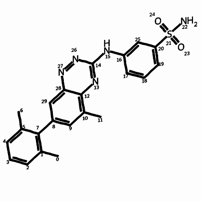 Cc1cccc(C)c1-c1cc(C)c2nc(Nc3cccc(S(N)(=O)=O)c3)nnc2c1